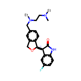 CCN(C)CCN(CC)Cc1ccc2c(c1)CO/C2=C1/C(=O)Nc2ccc(F)cc21